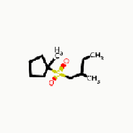 CCC(C)CS(=O)(=O)C1(C)CCCC1